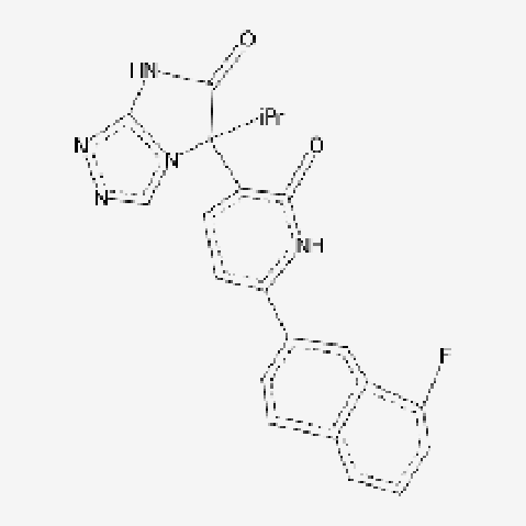 CC(C)C1(c2ccc(-c3ccc4cccc(F)c4c3)[nH]c2=O)C(=O)Nc2nncn21